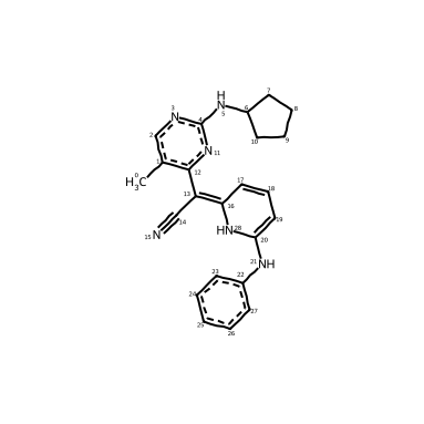 Cc1cnc(NC2CCCC2)nc1/C(C#N)=C1\C=CC=C(Nc2ccccc2)N1